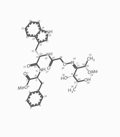 COC(=O)[C@H](Cc1ccccc1)NC(=O)[C@H](Cc1c[nH]c2ccccc12)NC(=O)CO/N=C(/[C@H](C)OC)[C@@H](O)[C@@H](C)O